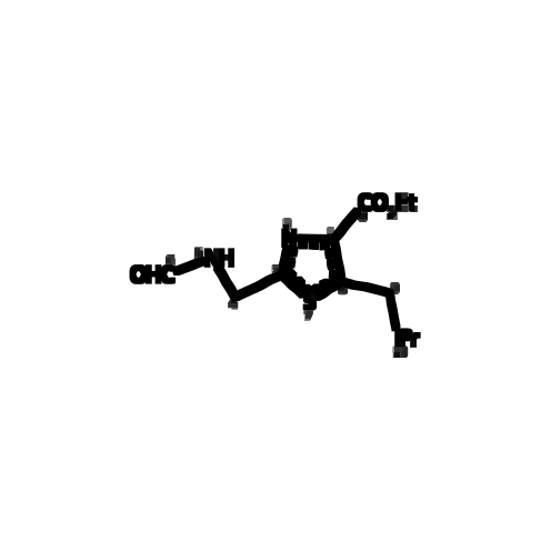 CCOC(=O)c1nc(CNC=O)sc1CC(C)C